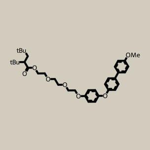 COc1ccc(-c2ccc(Oc3ccc(OCCOCCOCCOC(=O)C(CC(C)(C)C)C(C)(C)C)cc3)cc2)cc1